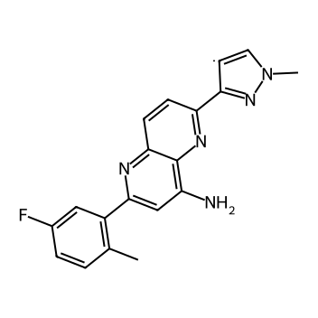 Cc1ccc(F)cc1-c1cc(N)c2nc(-c3[c]cn(C)n3)ccc2n1